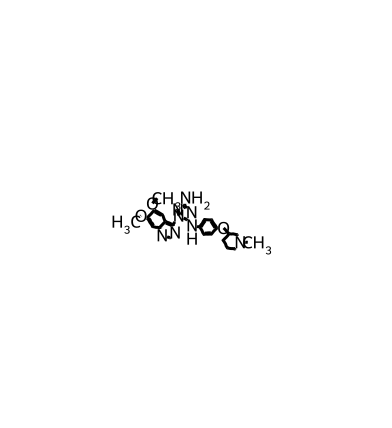 COc1cc2ncnc(-n3nc(N)nc3Nc3ccc(OC4CCCN(C)C4)cc3)c2cc1OC